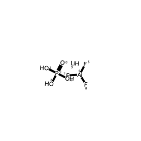 O=P(O)(O)O.[F][Al]([F])[F].[LiH]